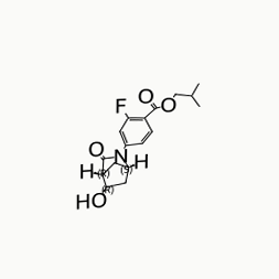 CC(C)COC(=O)c1ccc(N2C(=O)[C@@H]3C[C@H]2C[C@H]3O)cc1F